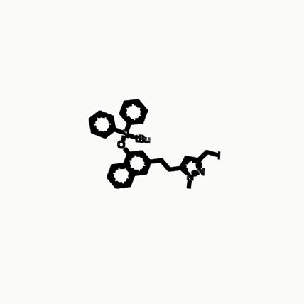 Cn1nc(CI)cc1CCc1cc(O[Si](c2ccccc2)(c2ccccc2)C(C)(C)C)c2ccccc2c1